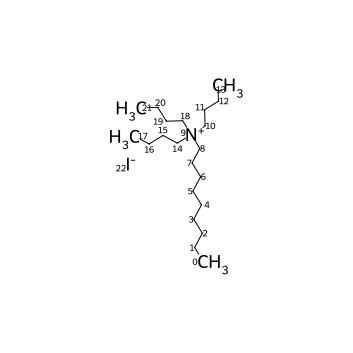 CCCCCCCCC[N+](CCCC)(CCCC)CCCC.[I-]